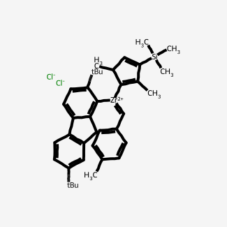 CC1=[C](/[Zr+2](=[CH]/c2ccc(C)cc2)[c]2c(C(C)(C)C)ccc3c2Cc2cc(C(C)(C)C)ccc2-3)C(C)C=C1[Si](C)(C)C.[Cl-].[Cl-]